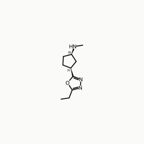 CCc1nnc([C@H]2CC[C@@H](NC)C2)o1